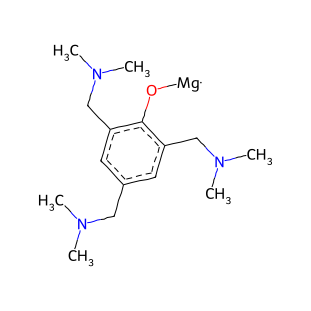 CN(C)Cc1cc(CN(C)C)c([O][Mg])c(CN(C)C)c1